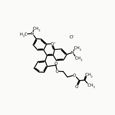 C=C(C)C(=O)OCCOC(=O)c1ccccc1-c1c2ccc(N(C)C)cc2[o+]c2cc(N(C)C)ccc12.[Cl-]